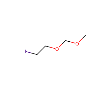 COCOCCI